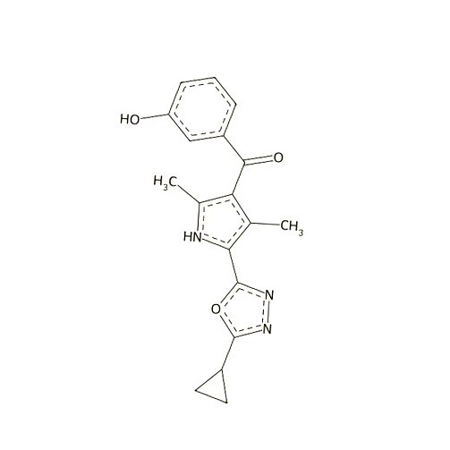 Cc1[nH]c(-c2nnc(C3CC3)o2)c(C)c1C(=O)c1cccc(O)c1